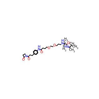 CC(C)[C@@H](C)NC(=O)C(C)(C)NCCCOCCOCCCC(=O)Nc1ccc(CCC(=O)N2CCC2=O)cc1